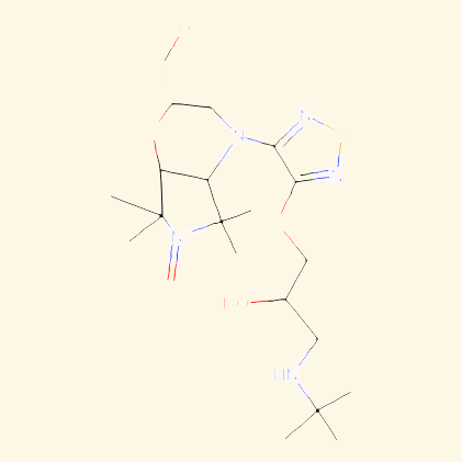 CC(C)(C)NCC(O)COc1nsnc1N1C[C@@H](CO)OC2C1C(C)(C)[N+](=O)C2(C)C